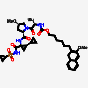 COC1=C(CCCCCCOC(=O)N[C@H](C(=O)N2C[C@@H](OC)C[C@H]2C(=O)N[C@]2(C(=O)NS(=O)(=O)C3CC3)C[C@@H]2C2CC2)C(C)(C)C)CC2C=CC=CC2=C1